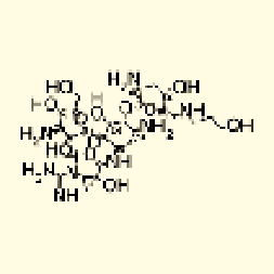 N=C(N)NC1CC1(O)C(=O)N[C@@H]1C[C@H](N)C(O[C@H]2O[C@H](CNCCCO)[C@@H](O)C[C@H]2N)[C@H](O)[C@H]1O[C@H]1O[C@H](CO)[C@@H](O)[C@H](N)[C@H]1O